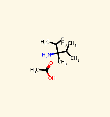 CC(=O)O.CC(C)C(C)(N)C(C)C